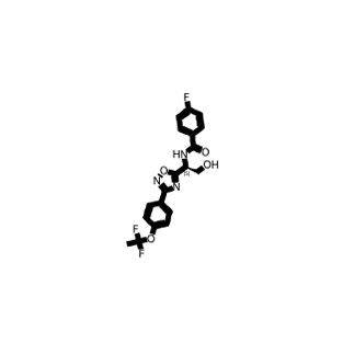 CC(F)(F)Oc1ccc(-c2noc([C@H](CO)NC(=O)c3ccc(F)cc3)n2)cc1